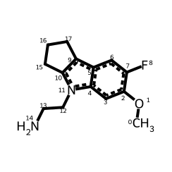 COc1cc2c(cc1F)c1c(n2CCN)CCC1